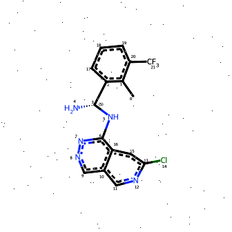 Cc1c([C@@H](N)Nc2nncc3cnc(Cl)cc23)cccc1C(F)(F)F